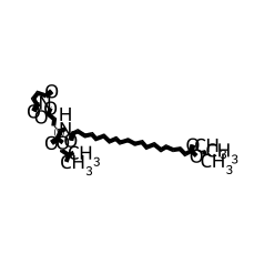 CC(C)COC(=O)[C@H](CCC(=O)ON1C(=O)CCC1=O)NC(=O)CCCCCCCCCCCCCCCCCCC(=O)OC(C)(C)C